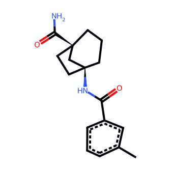 Cc1cccc(C(=O)N[C@@]23CCC[C@@](C(N)=O)(CC2)C3)c1